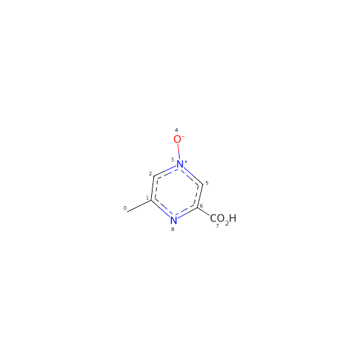 Cc1c[n+]([O-])cc(C(=O)O)n1